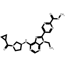 CCn1c(-c2cnc(C(=O)OC)nc2)nc2c(N[C@H]3CCN(C(=O)C4CC4)C3)ncnc21